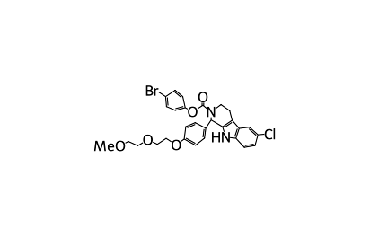 COCCOCCOc1ccc(C2c3[nH]c4ccc(Cl)cc4c3CCN2C(=O)Oc2ccc(Br)cc2)cc1